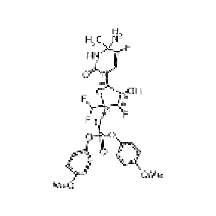 COc1ccc(OP(=O)(OC[C@@]2(C(F)F)O[C@@H](N3C=C(F)C(C)(N)NC3=O)[C@H](O)[C@H]2F)Oc2ccc(OC)cc2)cc1